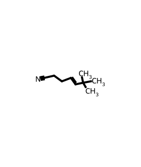 CC(C)(C)/C=C/CCC#N